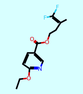 CCOc1ccc(C(=O)OCCC(C)=C(F)F)cn1